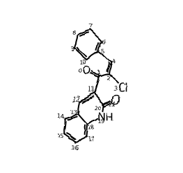 O=C(/C(Cl)=C\c1ccccc1)c1cc2ccccc2[nH]c1=O